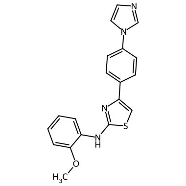 COc1ccccc1Nc1nc(-c2ccc(-n3ccnc3)cc2)cs1